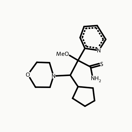 COC(C(N)=S)(c1ccccn1)C(C1CCCC1)N1CCOCC1